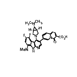 CNc1cc(F)c(F)c2c1[nH]c1ncc(-c3ccc4ccc(C(=O)O)c(=O)n4c3)c(N3C[C@@H]4[C@H](C3)[C@H]4N(C)C)c12